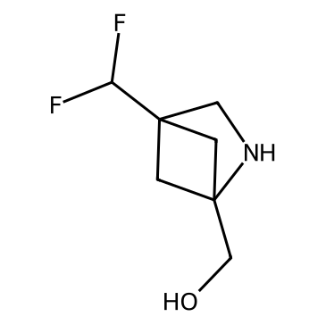 OCC12CC(C(F)F)(CN1)C2